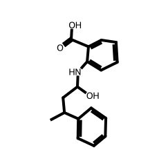 CC(CC(O)Nc1ccccc1C(=O)O)c1ccccc1